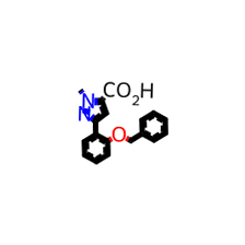 Cn1nc(-c2ccccc2OCc2ccccc2)cc1C(=O)O